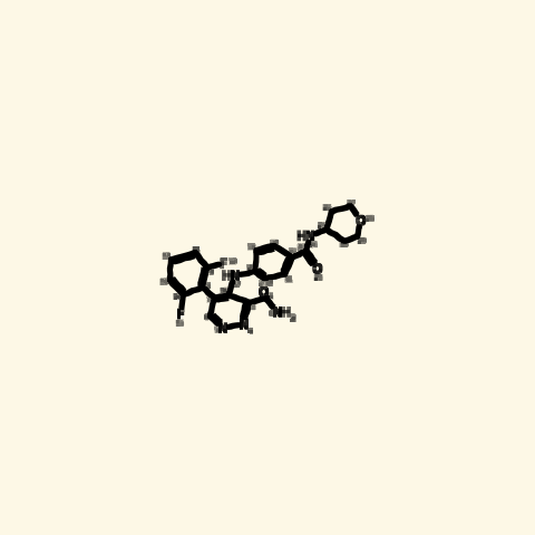 NC(=O)c1nncc(-c2c(F)cccc2F)c1Nc1ccc(C(=O)NC2CCOCC2)cc1